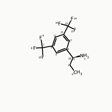 CC[C@H](N)c1cc(C(F)(F)F)cc(C(F)(F)F)c1